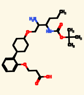 CCCC(NC(=O)OC(C)(C)C)C(N)CO[C@H]1CC[C@@H](c2ccccc2OCCC(=O)O)CC1